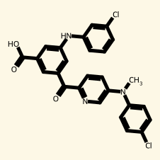 CN(c1ccc(Cl)cc1)c1ccc(C(=O)c2cc(Nc3cccc(Cl)c3)cc(C(=O)O)c2)nc1